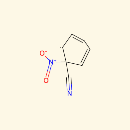 N#CC1([N+](=O)[O-])[CH]C=CC=C1